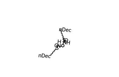 CCCCCCCCCCCCCCCCCCSC(=O)NCC1CCCC(CNC(=O)SCCCCCCCCCCCCCCCCCC)C1